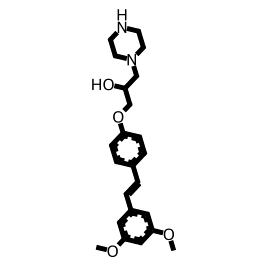 COc1cc(/C=C/c2ccc(OCC(O)CN3CCNCC3)cc2)cc(OC)c1